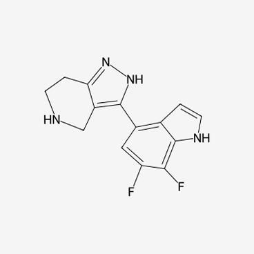 Fc1cc(-c2[nH]nc3c2CNCC3)c2cc[nH]c2c1F